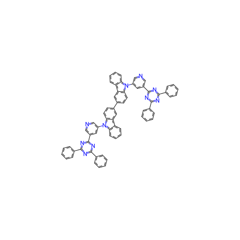 c1ccc(-c2nc(-c3ccccc3)nc(-c3cncc(-n4c5ccccc5c5cc(-c6ccc7c(c6)c6ccccc6n7-c6cncc(-c7nc(-c8ccccc8)nc(-c8ccccc8)n7)c6)ccc54)c3)n2)cc1